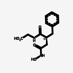 O=C(O)CNC(=O)[C@H](CC(=O)NO)Cc1ccccc1